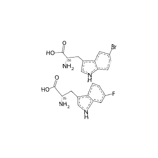 N[C@@H](Cc1c[nH]c2cc(F)ccc12)C(=O)O.N[C@@H](Cc1c[nH]c2ccc(Br)cc12)C(=O)O